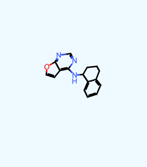 c1ccc2c(c1)CCCC2Nc1ncnc2occc12